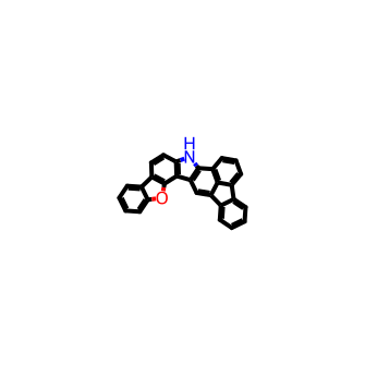 c1ccc2c(c1)-c1cccc3c1c-2cc1c3[nH]c2ccc3c4ccccc4oc3c21